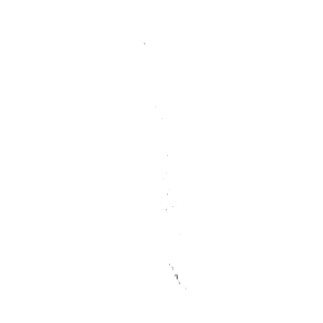 [N-]=[N+]=NCCOCCOCCOCCOCCOCCOCCOCCN